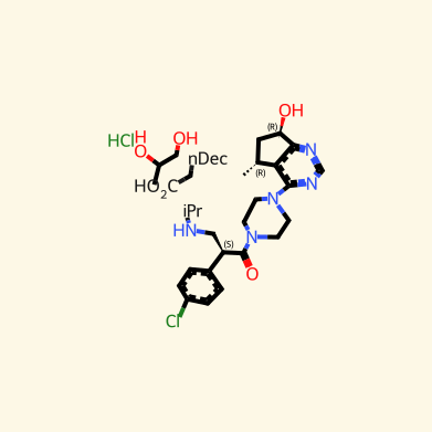 CC(C)NC[C@@H](C(=O)N1CCN(c2ncnc3c2[C@H](C)C[C@H]3O)CC1)c1ccc(Cl)cc1.CC(O)CO.CCCCCCCCCCCC(=O)O.Cl